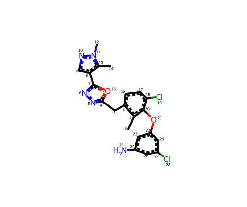 Cc1c(Cc2nnc(-c3cnn(C)c3C)o2)ccc(Cl)c1Oc1cc(N)cc(Cl)c1